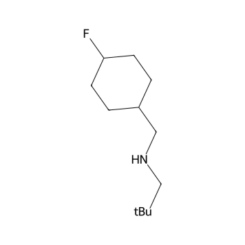 CC(C)(C)CNCC1CCC(F)CC1